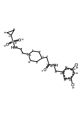 O=C(CC1CCN(CCNS(=O)(=O)C2CC2)CC1)NCc1cc(Cl)cc(Cl)c1